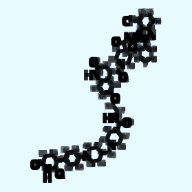 CNC(=O)C1(Oc2ccccc2-c2nc3cccc(Cl)c3s2)CCN(C(=O)[C@H]2CC(=O)Nc3ccc(OCCNC(=O)C4CCN(CC5CCN(c6ccc(C7CCC(=O)NC7=O)cc6)CC5)CC4)cc32)CC1